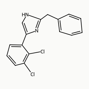 Clc1cccc(-c2c[nH]c(Cc3ccccc3)n2)c1Cl